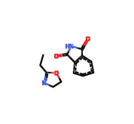 CCC1=NCCO1.O=C1NC(=O)c2ccccc21